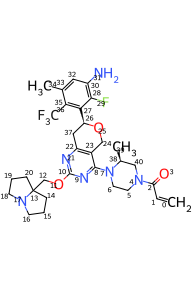 C=CC(=O)N1CCN(c2nc(OCC34CCCN3CCC4)nc3c2CO[C@H](c2c(F)c(N)cc(C)c2C(F)(F)F)C3)[C@@H](C)C1